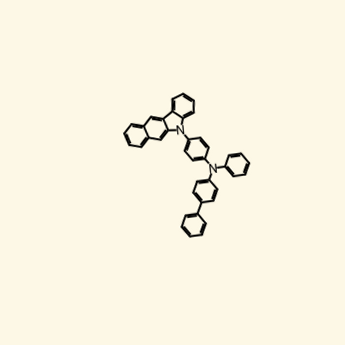 c1ccc(-c2ccc(N(c3ccccc3)c3ccc(-n4c5ccccc5c5cc6ccccc6cc54)cc3)cc2)cc1